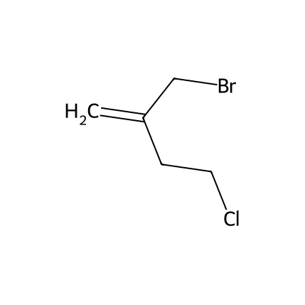 C=C(CBr)CCCl